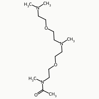 CC(=O)N(C)CCOCCN(C)CCOCCN(C)C